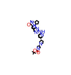 CN(C)C(=O)c1cc2cnc(Nc3ccc([C@H]4CCN(C5CN(C(=O)OC(C)(C)C)C5)C4)cn3)nc2n1C1CCCC1